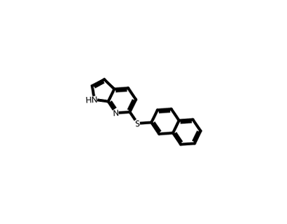 c1ccc2cc(Sc3ccc4cc[nH]c4n3)ccc2c1